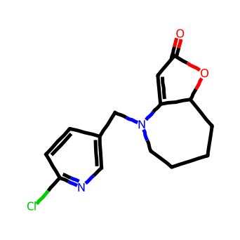 O=C1C=C2C(CCCCN2Cc2ccc(Cl)nc2)O1